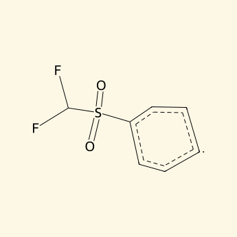 O=S(=O)(c1cc[c]cc1)C(F)F